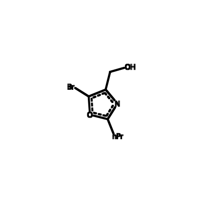 CCCc1nc(CO)c(Br)o1